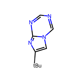 CC(C)(C)c1cn2cncnc2n1